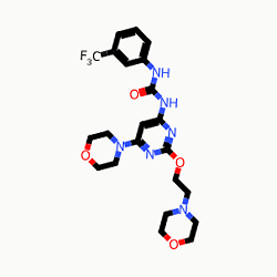 O=C(Nc1cccc(C(F)(F)F)c1)Nc1cc(N2CCOCC2)nc(OCCN2CCOCC2)n1